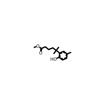 COC(=O)CCCC(C)(C)c1cc(C)ccc1O